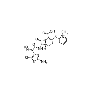 C[n+]1ccccc1SC1=C(C(=O)O)N2C(=O)[C@@H](NC(=O)/C(=N\O)c3nc(N)sc3Cl)[C@H]2CC1